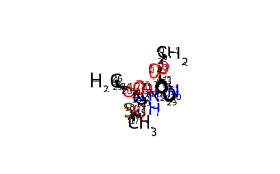 C=CCOC(=O)c1cc(NC(=O)[C@@H]2C[C@H](OC(C)=S)CN2C(=O)OCC=C)c2cccnc2c1